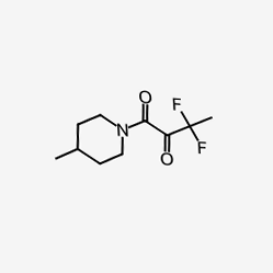 CC1CCN(C(=O)C(=O)C(C)(F)F)CC1